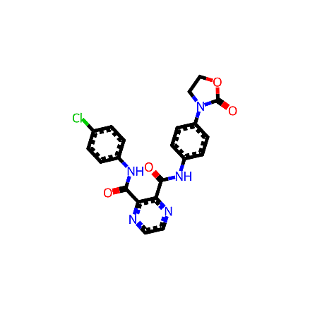 O=C(Nc1ccc(Cl)cc1)c1nccnc1C(=O)Nc1ccc(N2CCOC2=O)cc1